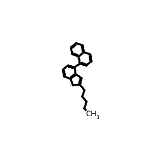 CCCCCC1=Cc2c(cccc2-c2cccc3ccccc23)[CH]1